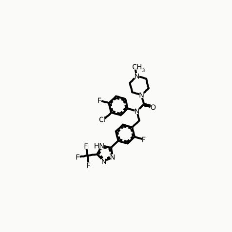 CN1CCN(C(=O)N(Cc2ccc(-c3nnc(C(F)(F)F)[nH]3)cc2F)c2ccc(F)c(Cl)c2)CC1